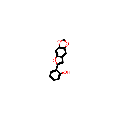 Oc1ccccc1-c1cc2cc3c(cc2o1)OCO3